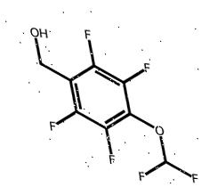 O[CH]c1c(F)c(F)c(OC(F)F)c(F)c1F